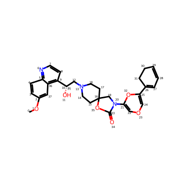 COc1ccc2nccc([C@@H](O)CN3CCC4(CC3)CN(C3=COC=C(C5=CC=CCC5)O3)C(=O)O4)c2c1